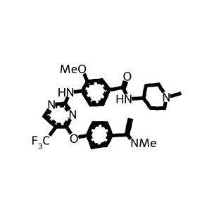 C=C(NC)c1ccc(Oc2nc(Nc3ccc(C(=O)NC4CCN(C)CC4)cc3OC)ncc2C(F)(F)F)cc1